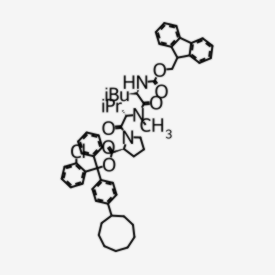 CC[C@H](C)[C@H](NC(=O)OCC1c2ccccc2-c2ccccc21)C(=O)N(C)[C@H](C(=O)N1CCC[C@H]1C(=O)OC(c1ccccc1)(c1ccc(C2CCCCCCCC2)cc1)c1ccccc1Cl)C(C)C